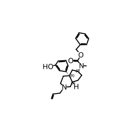 C=CCN1CC[C@@]2(c3cccc(O)c3)C[C@H](N(C)C(=O)OCc3ccccc3)CC[C@@H]2C1